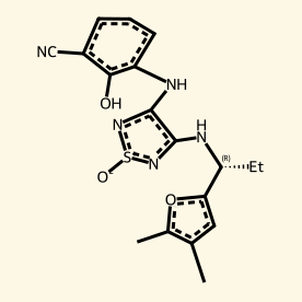 CC[C@@H](Nc1n[s+]([O-])nc1Nc1cccc(C#N)c1O)c1cc(C)c(C)o1